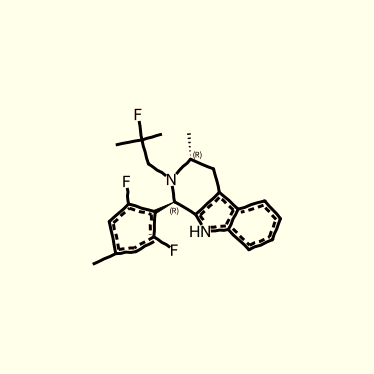 Cc1cc(F)c([C@@H]2c3[nH]c4ccccc4c3C[C@@H](C)N2CC(C)(C)F)c(F)c1